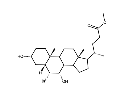 COC(=O)CC[C@H](C)C1CCC2C3C(CC[C@@]21C)[C@@]1(C)CC[C@@H](O)C[C@H]1[C@@H](Br)[C@H]3O